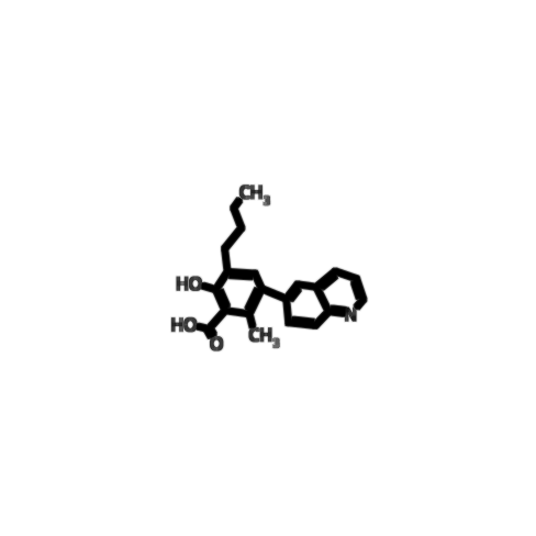 CCCCc1cc(-c2ccc3ncccc3c2)c(C)c(C(=O)O)c1O